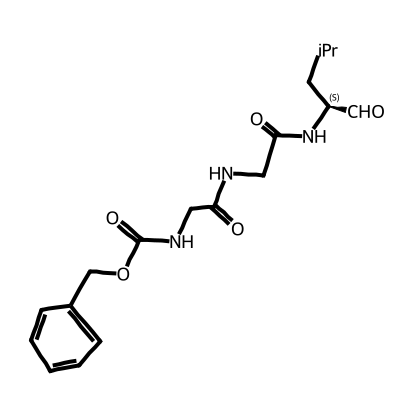 CC(C)C[C@@H](C=O)NC(=O)CNC(=O)CNC(=O)OCc1ccccc1